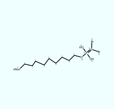 CCCCCCCCCCCCCCCCCCOP(O)(O)=S(Br)Br